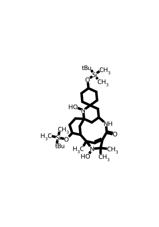 CC1(C)C2=CC(C)(C3CC4(CCC3O[Si](C)(C)C(C)(C)C)CC(CC3(CCC(O[Si](C)(C)C(C)(C)C)CC3)N4O)NC2=O)N1O